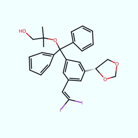 CC(C)(CO)OC(c1ccccc1)(c1ccccc1)c1cc(C=C(I)I)cc([C@@H]2COCO2)c1